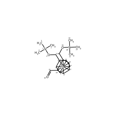 C[Si](C)(C)OC[C]12[CH]3[CH]4[CH]5[CH]1[Fe]45321678[CH]2[CH]1[C]6(C=O)[C]7(CO[Si](C)(C)C)[CH]28